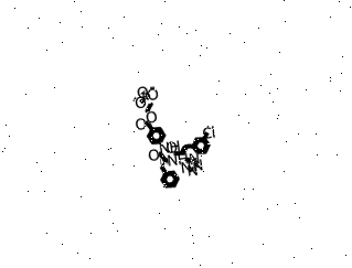 COP(=O)(CCOC(=O)c1ccc(NC(=O)[C@H](Cc2ccccc2)NC(=O)C=Cc2cc(Cl)ccc2-n2cnnn2)cc1)OC